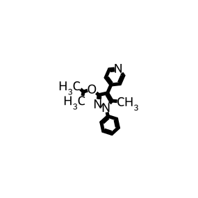 Cc1c(-c2ccncc2)c(OC(C)C)nn1-c1ccccc1